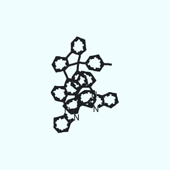 Cc1ccc(C2(c3ccc(C)cc3)c3ccccc3-c3cccc(-c4c5cccc(-n6c(-c7ccccc7)nc7ccccc76)c5cc5c(-n6c(-c7ccccc7)nc7ccccc76)cccc45)c32)cc1